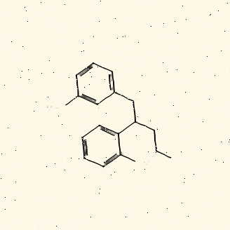 COc1cccc(CC(CCO)c2ccccc2OC)c1